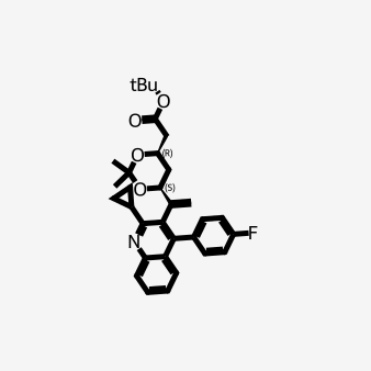 C=C(c1c(C2CC2)nc2ccccc2c1-c1ccc(F)cc1)[C@@H]1C[C@H](CC(=O)OC(C)(C)C)OC(C)(C)O1